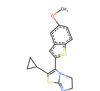 COc1ccc2sc(C3=C(C4CC4)SC4=NCCN43)cc2c1